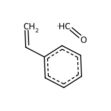 C=Cc1ccccc1.[CH]=O